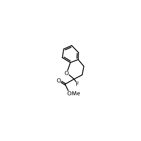 COC(=O)C1(F)CCc2ccccc2O1